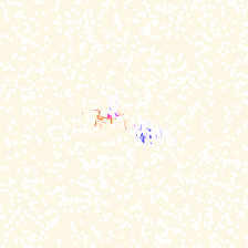 Nc1ncnc2c1ncn2C1CCC(COS(=O)(=O)NC(=O)CCC(=O)c2ccccc2C2=C(O)C(=O)[PH]2=O)O1